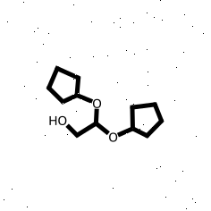 OCC(OC1CCCC1)OC1CCCC1